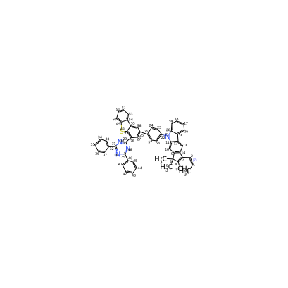 C/C=C\C1=C(C)C(C)(C)c2cc3c(cc21)c1ccccc1n3-c1ccc(-c2cc(-c3nc(-c4ccccc4)nc(-c4ccccc4)n3)c3sc4ccccc4c3c2)cc1